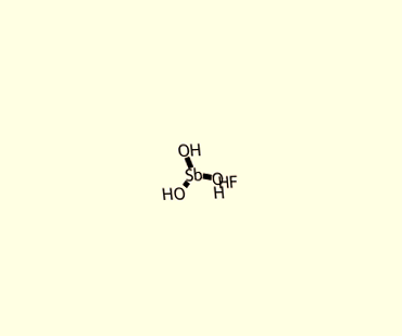 F.[OH][Sb]([OH])[OH]